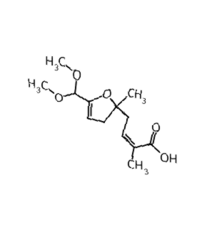 COC(OC)C1=CCC(C)(CC=C(C)C(=O)O)O1